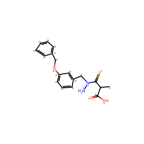 CC(C(=O)O)C(=S)N(N)Cc1cccc(OCc2ccccc2)c1